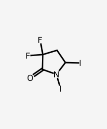 O=C1N(I)C(I)CC1(F)F